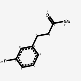 CC(C)(C)C(=O)CCc1cccc(F)c1